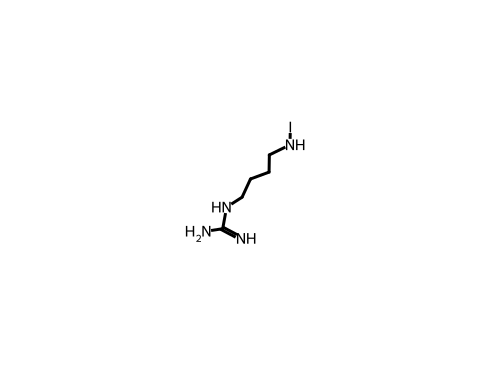 N=C(N)NCCCCNI